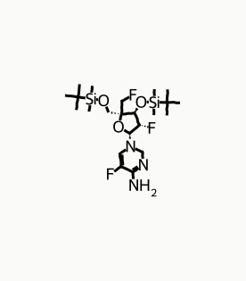 CC(C)(C)[Si](C)(C)OC[C@@]1(CF)O[C@@H](N2C=C(F)C(N)=NC2)[C@@H](F)[C@@H]1O[Si](C)(C)C(C)(C)C